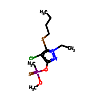 CCCCSc1c(Cl)c(OP(C)(=S)OC)nn1CC